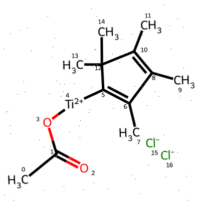 CC(=O)[O][Ti+2][C]1=C(C)C(C)=C(C)C1(C)C.[Cl-].[Cl-]